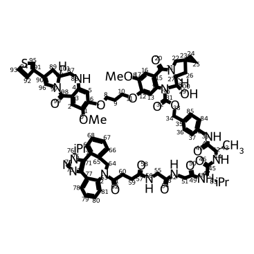 COc1cc2c(cc1OCCCOc1cc3c(cc1OC)C(=O)N1CC4(CC4)C[C@H]1C(O)N3C(=O)OCc1ccc(NC(=O)[C@H](C)NC(=O)[C@@H](NC(=O)CNC(=O)CNC(=O)CCC(=O)N3Cc4ccccc4-c4c(nnn4C(C)C)-c4ccccc43)C(C)C)cc1)NC[C@@H]1CC(c3ccsc3)=CN1C2=O